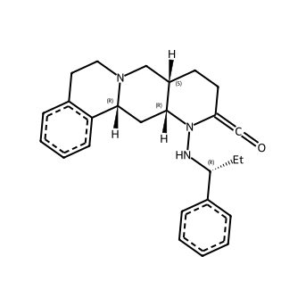 CC[C@@H](NN1C(=C=O)CC[C@H]2CN3CCc4ccccc4[C@H]3C[C@H]21)c1ccccc1